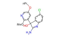 CCCOc1cnc(OC)c(C2(O)C(N)=Nc3ccc(Cl)cc32)c1